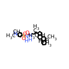 CC[C@H]1C[C@H]2C3CCC([C@H](C)CCNC(=O)NS(=O)(=O)c4ccc(N(C)C)cc4)[C@@]3(C)CC[C@@H]2[C@@]2(C)CCCC[C@@H]12